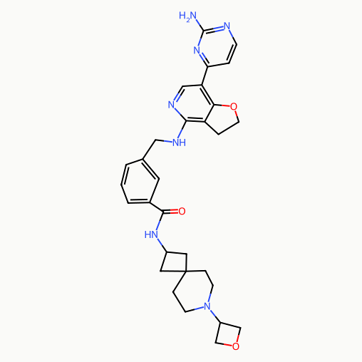 Nc1nccc(-c2cnc(NCc3cccc(C(=O)NC4CC5(CCN(C6COC6)CC5)C4)c3)c3c2OCC3)n1